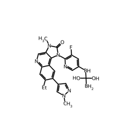 BC(O)(O)Bc1cnc(-n2c(=O)n(C)c3cnc4cc(CC)c(-c5cnn(C)c5)cc4c32)c(F)c1